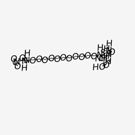 NC(COCCOCCOCCOCCOCCOCCOCCOCCOCCOCCOCCNNC(=O)CCN1C(=O)C=CC1=O)NC(=O)[C@@]1(CCCCC(=O)O)SC[C@@H]2NC(=O)N[C@@H]21